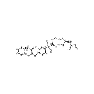 C=CC(=O)NC1CC2CCN(S(=O)(=O)c3ccc(CN(Cc4ccccc4)C(=O)O)cc3)CC2O1